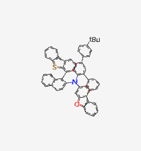 CC(C)(C)c1ccc(-c2ccc(N(c3ccc4c(c3)oc3ccccc34)c3ccc4ccccc4c3-c3cccc4c3sc3ccccc34)c(-c3ccccc3)c2)cc1